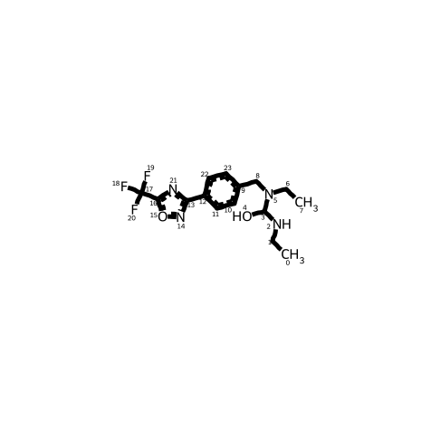 CCNC(O)N(CC)Cc1ccc(-c2noc(C(F)(F)F)n2)cc1